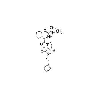 CNC(C)C(=O)N[C@@H](C(=O)N1CC[C@H]2CN(CCc3ccccc3)C(=O)[C@H]21)C1CCCCC1